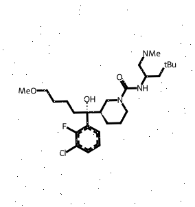 CNCC(CC(C)(C)C)NC(=O)N1CCC[C@@H]([C@](O)(CCCCOC)c2cccc(Cl)c2F)C1